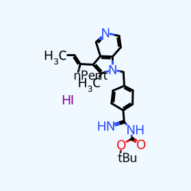 CC=C(CCCCC)c1c(C)n(Cc2ccc(C(=N)NC(=O)OC(C)(C)C)cc2)c2ccncc12.I